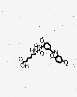 COc1ccc2oc(-c3ccc(OC)c(NC(=O)NCCCCCC(=O)O)c3)nc2c1